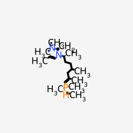 C=C(N(C)C)N(/C=C/C)[C@H](C)CCC(C)C/C(C)=C/[PH](C)(C)CC